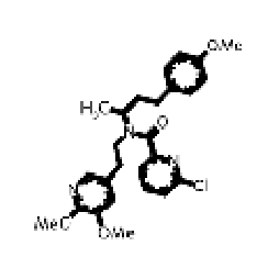 COc1ccc(CCC(C)N(CCc2cnc(OC)c(OC)c2)C(=O)c2cccc(Cl)n2)cc1